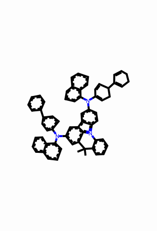 CC1(C)c2ccccc2-n2c3ccc(N(C4=CCC(C5=CCCC=C5)C=C4)c4cccc5ccccc45)cc3c3cc(N(c4ccc(-c5ccccc5)cc4)c4cccc5ccccc45)cc1c32